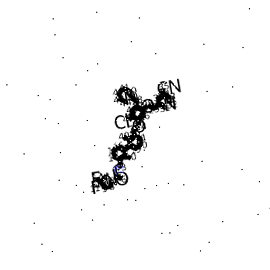 Cc1c(/C=C/C(=O)N2CCC(F)(F)C2)cccc1-c1cccc(COc2cc(OCc3cncc(C#N)c3)c(CN3CCCCC3)cc2Cl)c1C